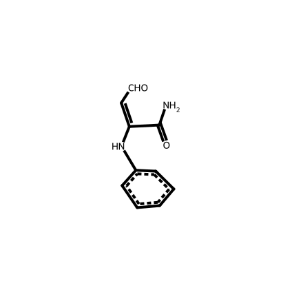 NC(=O)C(=CC=O)Nc1ccccc1